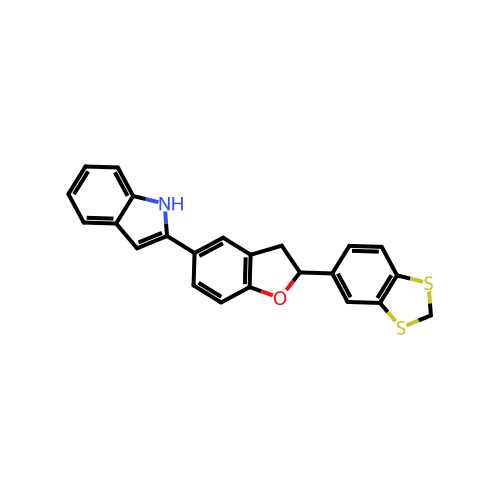 c1ccc2[nH]c(-c3ccc4c(c3)CC(c3ccc5c(c3)SCS5)O4)cc2c1